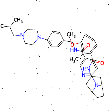 COc1cccc(C(=O)NC2CC3CCC(C2)N3c2ccc(C(=O)NCc3ccc(N4CCN(CC(C)C)CC4)cc3)cn2)c1C